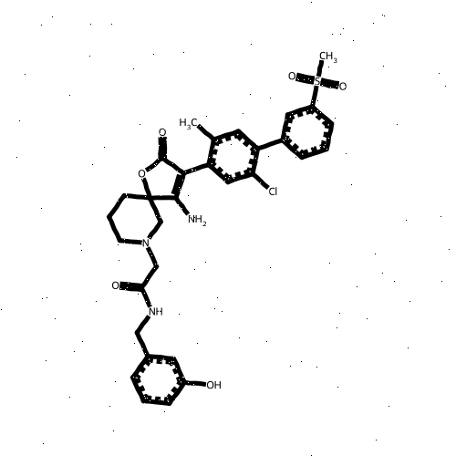 Cc1cc(-c2cccc(S(C)(=O)=O)c2)c(Cl)cc1C1=C(N)C2(CCCN(CC(=O)NCc3cccc(O)c3)C2)OC1=O